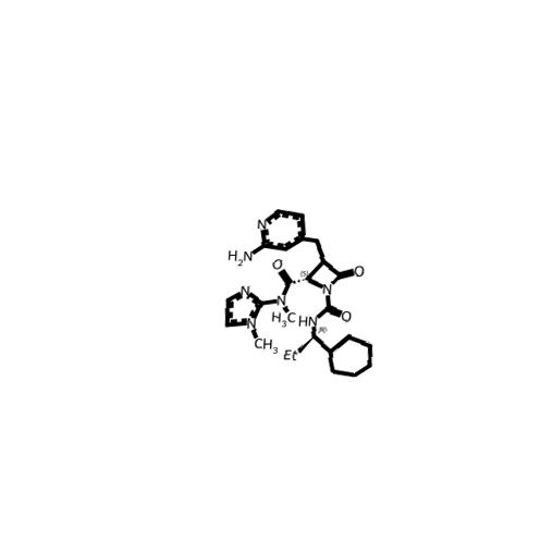 CC[C@@H](NC(=O)N1C(=O)C(Cc2ccnc(N)c2)[C@H]1C(=O)N(C)c1nccn1C)C1CCCCC1